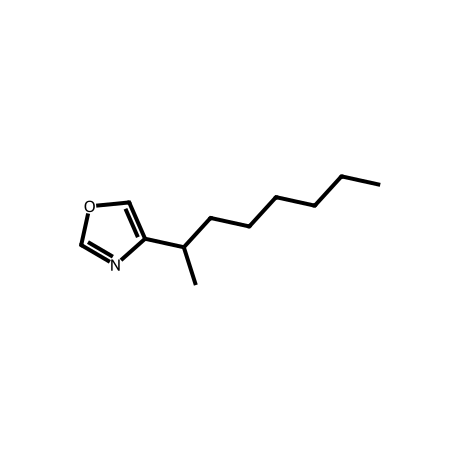 CCCCCCC(C)c1cocn1